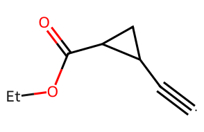 [C]#CC1CC1C(=O)OCC